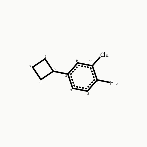 Fc1ccc([C]2CCC2)cc1Cl